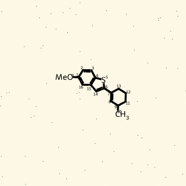 COc1ccc2sc(C3=CC(C)CCC3)cc2c1